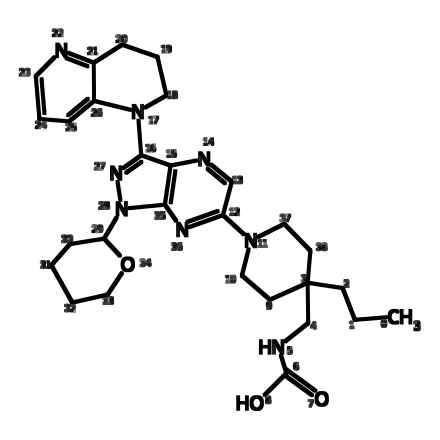 CCCC1(CNC(=O)O)CCN(c2cnc3c(N4CCCc5ncccc54)nn(C4CCCCO4)c3n2)CC1